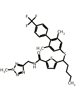 CCCCC(Sc1cc(C)c(-c2ccc(C(F)(F)F)cc2)c(C)c1)c1ccc(C(=O)NCc2nnn(C)n2)s1